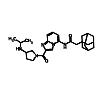 CC(C)NC1CCN(C(=O)c2cn3c(NC(=O)CC45CC6CC(CC(C6)C4)C5)cccc3n2)C1